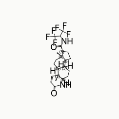 C[C@]12C=CC(=O)N[C@@H]1CC[C@@H]1[C@@H]2CC[C@]2(C)[C@@H](C(=O)NC(C(F)(F)F)C(F)(F)F)CC[C@@H]12